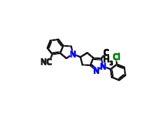 Cc1c2c(nn1-c1ccccc1Cl)CC(N1Cc3cccc(C#N)c3C1)C2